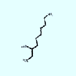 NCCCCCCC(O)CN